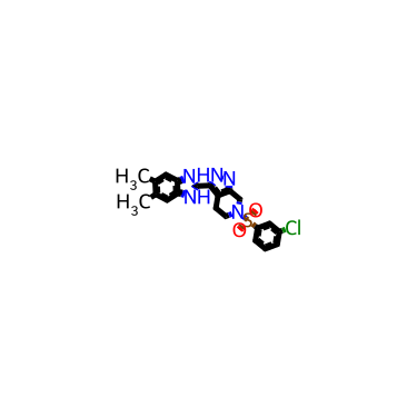 Cc1cc2nc(-c3[nH]nc4c3CCN(S(=O)(=O)c3cccc(Cl)c3)C4)[nH]c2cc1C